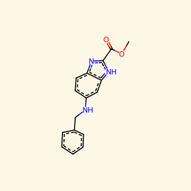 COC(=O)c1nc2ccc(NCc3ccccc3)cc2[nH]1